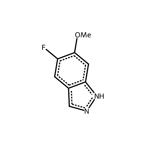 COc1cc2[nH]ncc2cc1F